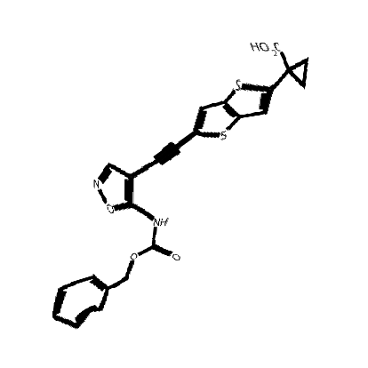 O=C(Nc1oncc1C#Cc1cc2sc(C3(C(=O)O)CC3)cc2s1)OCc1ccccc1